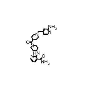 NC(=O)c1cccnc1NC1CCN(C(=O)C2CCN(Cc3ccnc(N)c3)CC2)CC1